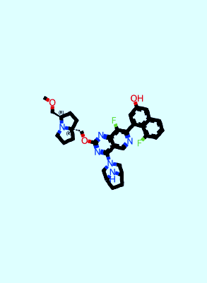 COC[C@H]1CC[C@@]2(COc3nc(N4CC5CCC(C4)N5)c4cnc(-c5cc(O)cc6cccc(F)c56)c(F)c4n3)CCCN12